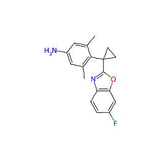 Cc1cc(N)cc(C)c1C1(c2nc3ccc(F)cc3o2)CC1